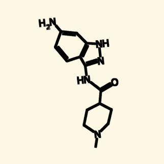 CN1CCC(C(=O)Nc2n[nH]c3cc(N)ccc23)CC1